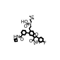 CNC(=O)c1c(-c2ccc(F)cc2)oc2cc(CCN(CC[Si](C)(C)C)C(=O)O)c(-c3cccc(C(=O)NC45CC(C4)C5)c3)cc12